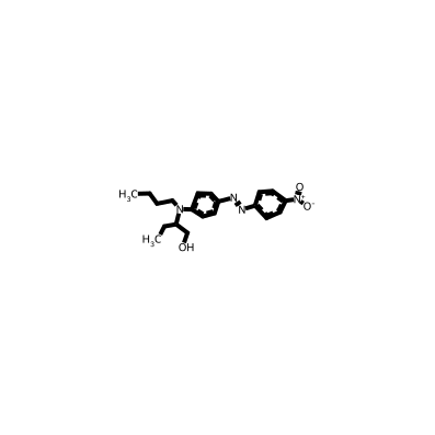 CCCCN(c1ccc(N=Nc2ccc([N+](=O)[O-])cc2)cc1)C(CC)CO